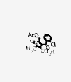 CC(=O)OCc1[nH]c(C)c(C(=O)O)c1C(=O)c1ccccc1Cl